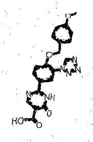 COc1ccc(COc2ccc(-c3ncc(C(=O)O)c(=O)[nH]3)cc2-n2cnnn2)cc1